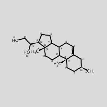 C[C@H]1CC[C@@]2(C)C(=CCC3C2CC[C@@]2(C)C3CC[C@@H]2C(O)CO)C1